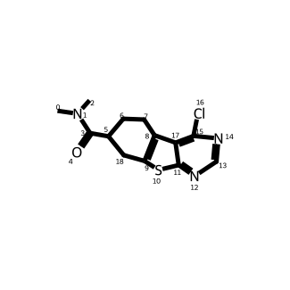 CN(C)C(=O)C1CCc2c(sc3ncnc(Cl)c23)C1